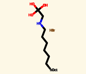 Br.CCCCCCCCCCCCCCNCC(O)(O)O